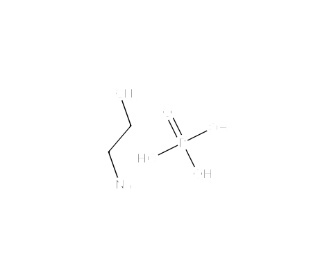 CC[CH2][Na].O=P(O)(O)O